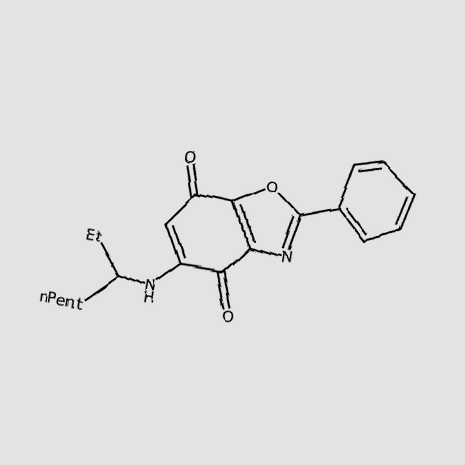 CCCCCC(CC)NC1=CC(=O)c2oc(-c3ccccc3)nc2C1=O